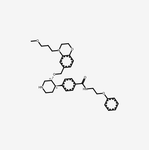 COCCCN1CCOc2ccc(CO[C@H]3CNCC[C@@H]3c3ccc(C(=O)NCCOc4ccccc4)cc3)cc21